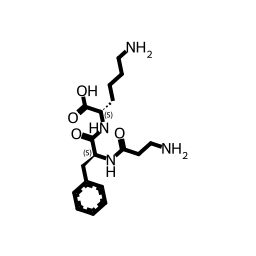 NCCCC[C@H](NC(=O)[C@H](Cc1ccccc1)NC(=O)CCN)C(=O)O